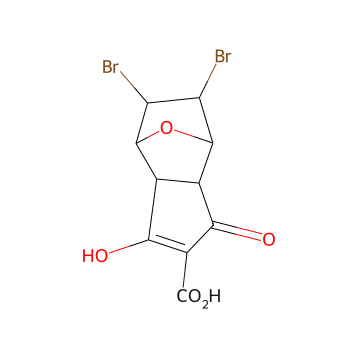 O=C(O)C1=C(O)C2C3OC(C(Br)C3Br)C2C1=O